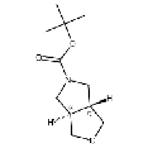 CC(C)(C)OC(=O)N1C[C@@H]2COC[C@H]2C1